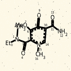 CCN(C)C(=O)c1c(OC)c(=O)c(C(N)=O)cn1C